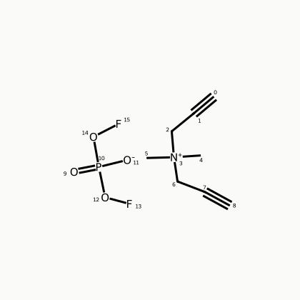 C#CC[N+](C)(C)CC#C.O=P([O-])(OF)OF